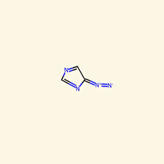 [N-]=[N+]=C1C=NC=N1